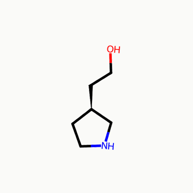 OCC[C@@H]1CCNC1